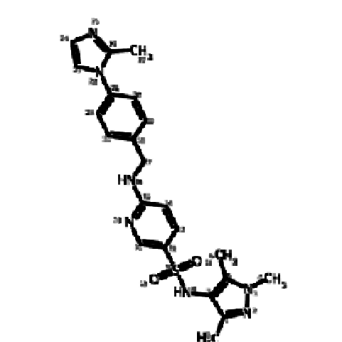 Cc1nn(C)c(C)c1NS(=O)(=O)c1ccc(NCc2ccc(-n3ccnc3C)cc2)nc1